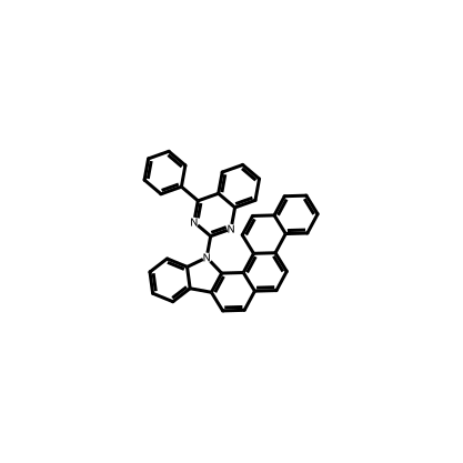 c1ccc(-c2nc(-n3c4ccccc4c4ccc5ccc6c7ccccc7ccc6c5c43)nc3ccccc23)cc1